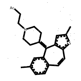 CC(=O)CCN1CCC(=C2c3cc(C)ccc3C=Cc3sc(C)cc32)CC1